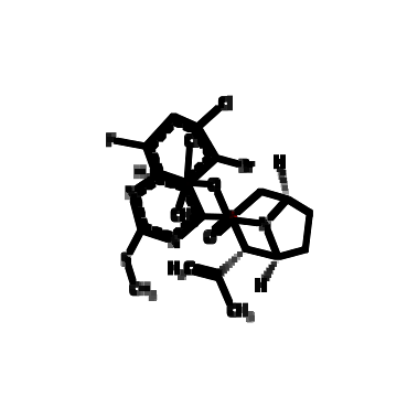 C=C(C)[C@H]1[C@@H]2CC[C@H](CN1c1nc(SC)nc3c(F)cc(Cl)c(Br)c13)N2C(=O)OC(C)(C)C